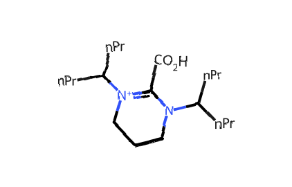 CCCC(CCC)N1CCC[N+](C(CCC)CCC)=C1C(=O)O